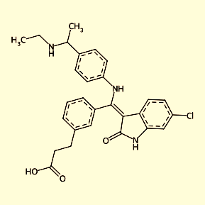 CCNC(C)c1ccc(NC(=C2C(=O)Nc3cc(Cl)ccc32)c2cccc(CCC(=O)O)c2)cc1